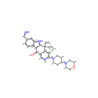 CC1(C)c2[nH]c3cc(C=N)ccc3c2C(=O)c2cnc(N3CCC(N4CCOCC4)CC3)c(F)c21